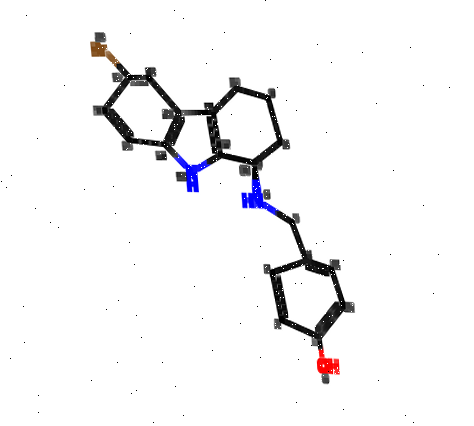 Oc1ccc(CN[C@@H]2CCCc3c2[nH]c2ccc(Br)cc32)cc1